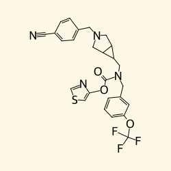 N#Cc1ccc(CN2CC3C(C2)C3CN(Cc2cccc(OC(F)(F)F)c2)C(=O)Oc2cscn2)cc1